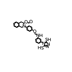 O=COC1Cc2ccccc2CN1c1ccc(OCNc2cccc(-n3c(S)nnc3S)c2)cc1